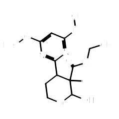 CCOC(=O)C1(F)C(O)OCCC1c1nc(OC)cc(OC)n1